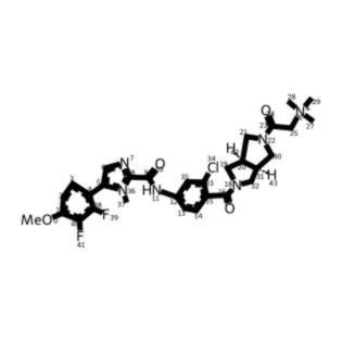 COc1ccc(-c2cnc(C(=O)Nc3ccc(C(=O)N4C[C@H]5CN(C(=O)C[N+](C)(C)C)C[C@H]5C4)c(Cl)c3)n2C)c(F)c1F